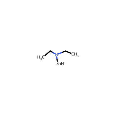 CC[N]([SnH])CC